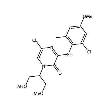 COCC(COC)n1cc(Cl)nc(Nc2c(C)cc(OC)cc2Cl)c1=O